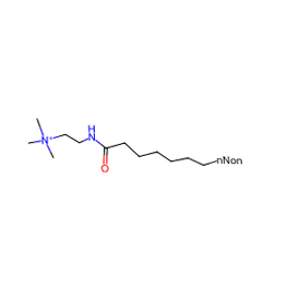 CCCCCCCCCCCCCCCC(=O)NCC[N+](C)(C)C